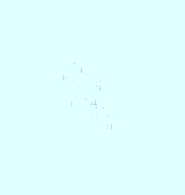 CC[C@@H](C)S(=O)(=O)N[C@H]1CCCN2C(=O)COc3ccccc3[C@H]3CC[C@H](CC3)OC[C@@H]12